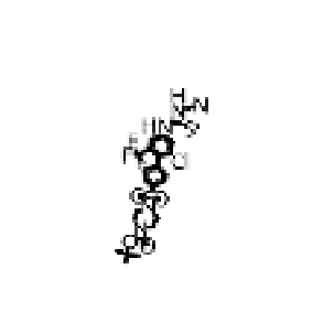 CSC(NC#N)Nc1cc(Cl)c(-c2ccc(S(=O)(=O)N3CCN(C(=O)OC(C)(C)C)CC3)cc2)c(C(F)(F)F)c1